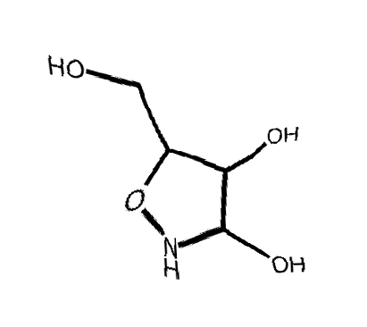 OCC1ONC(O)C1O